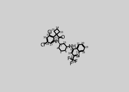 O=C(N[C@@H]1CCC[C@H](Nc2cc(C(F)(F)F)nc3ccccc23)C1)C1(c2ccc(Cl)cc2Cl)CCC1